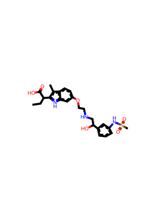 CCC(C(=O)O)c1[nH]c2cc(OCCNCC(O)c3cccc(NS(C)(=O)=O)c3)ccc2c1C